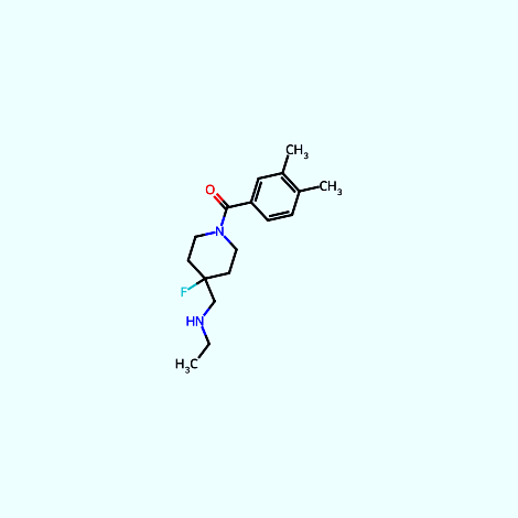 CCNCC1(F)CCN(C(=O)c2ccc(C)c(C)c2)CC1